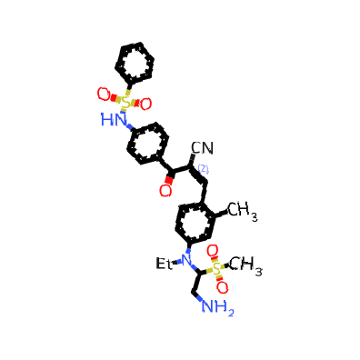 CCN(c1ccc(/C=C(/C#N)C(=O)c2ccc(NS(=O)(=O)c3ccccc3)cc2)c(C)c1)C(CN)S(C)(=O)=O